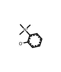 C[N+](C)(C)c1ccccc1[O-]